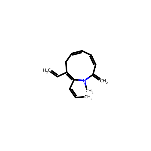 C=C/C1=C(\C=C/C)N(C)C(=C)/C=C\C=C/C1